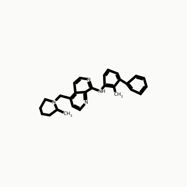 Cc1c(Nc2nccc3c(CN4CCCCC4C)ccnc23)cccc1-c1ccccc1